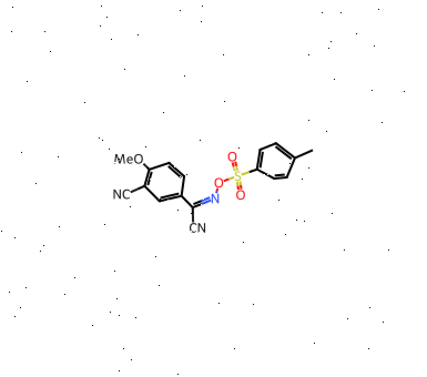 COc1ccc(/C(C#N)=N\OS(=O)(=O)c2ccc(C)cc2)cc1C#N